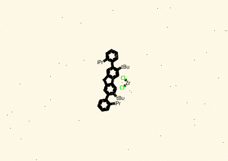 CC(C)c1ccccc1-c1cc2c(cc1C(C)(C)C)-c1cc(C(C)(C)C)c(-c3ccccc3C(C)C)cc1[CH]2.[Cl][Zr][Cl]